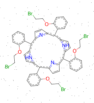 BrCCOc1ccccc1-c1c2nc(c(-c3ccccc3OCCBr)c3ccc([nH]3)c(-c3ccccc3OCCBr)c3nc(c(-c4ccccc4OCCBr)c4ccc1[nH]4)C=C3)C=C2